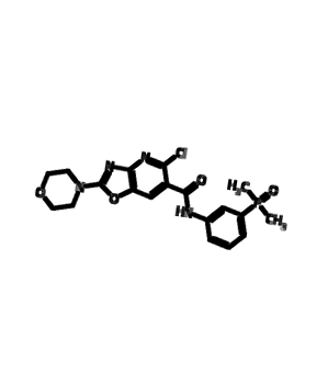 CP(C)(=O)c1cccc(NC(=O)c2cc3oc(N4CCOCC4)nc3nc2Cl)c1